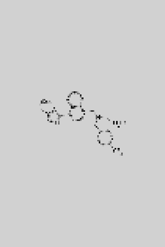 CCCCCCCCCCCc1noc(-c2ccc(CN(CC(=O)OCC)Cc3ccc(C(F)(F)F)cc3)c3ccccc23)n1